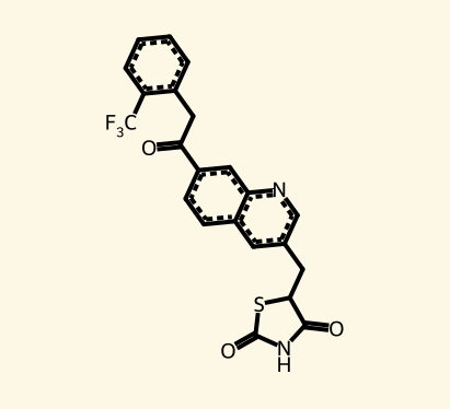 O=C1NC(=O)C(Cc2cnc3cc(C(=O)Cc4ccccc4C(F)(F)F)ccc3c2)S1